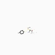 CCC(C)[C@H](N[S+]([O-])c1ccc(C)cc1)C1(C(=O)NC)SCCS1